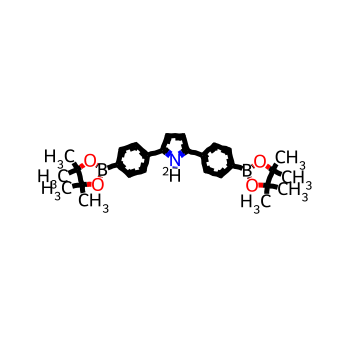 [2H]n1c(-c2ccc(B3OC(C)(C)C(C)(C)O3)cc2)ccc1-c1ccc(B2OC(C)(C)C(C)(C)O2)cc1